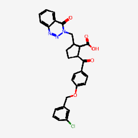 O=C(c1ccc(OCc2cccc(Cl)c2)cc1)C1CCC(Cn2nnc3ccccc3c2=O)C1C(=O)O